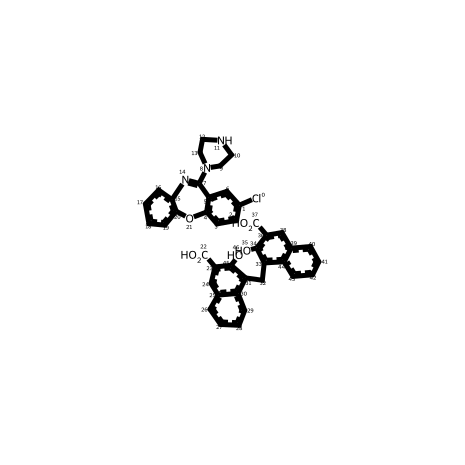 Clc1ccc2c(c1)C(N1CCNCC1)=Nc1ccccc1O2.O=C(O)c1cc2ccccc2c(Cc2c(O)c(C(=O)O)cc3ccccc23)c1O